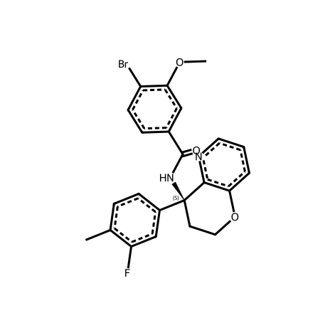 COc1cc(C(=O)N[C@]2(c3ccc(C)c(F)c3)CCOc3cccnc32)ccc1Br